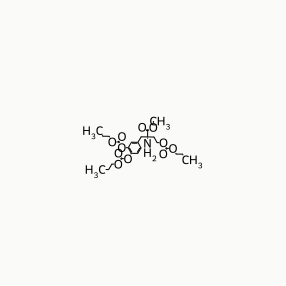 CCCOC(=O)OCC[C@@](N)(Cc1ccc(OC(=O)OCCC)c(OC(=O)OCCC)c1)C(=O)OC